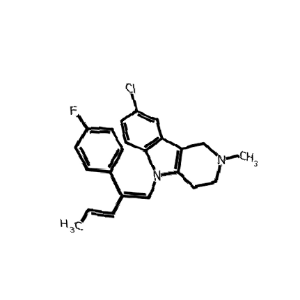 C/C=C/C(=C/n1c2c(c3cc(Cl)ccc31)CN(C)CC2)c1ccc(F)cc1